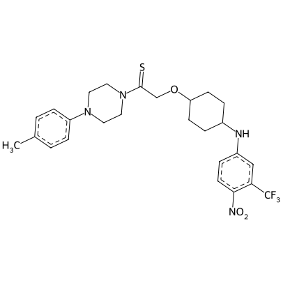 Cc1ccc(N2CCN(C(=S)COC3CCC(Nc4ccc([N+](=O)[O-])c(C(F)(F)F)c4)CC3)CC2)cc1